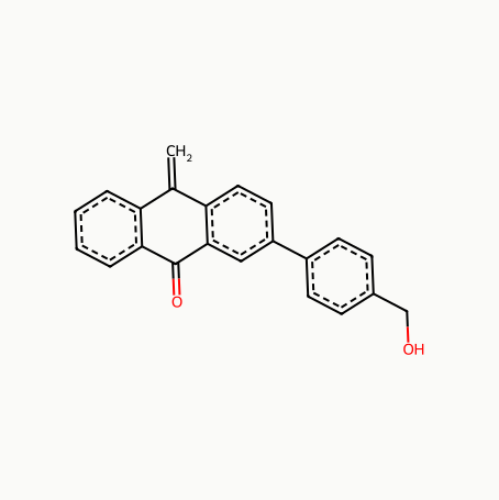 C=C1c2ccccc2C(=O)c2cc(-c3ccc(CO)cc3)ccc21